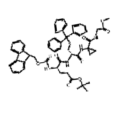 COC(=O)CNC(=O)C1(NC(=O)[C@@H](CSC(c2ccccc2)(c2ccccc2)c2ccccc2)NC(=O)[C@@H](CCC(=O)OC(C)(C)C)NC(=O)OCC2c3ccccc3-c3ccccc32)CC1